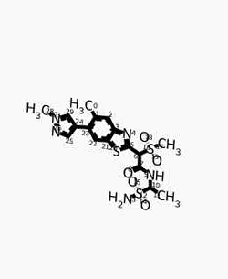 Cc1cc2nc(C(C(=O)NC(C)S(N)(=O)=O)S(C)(=O)=O)sc2cc1-c1cnn(C)c1